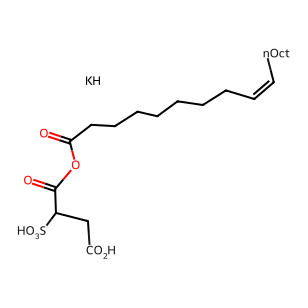 CCCCCCCC/C=C\CCCCCCCC(=O)OC(=O)C(CC(=O)O)S(=O)(=O)O.[KH]